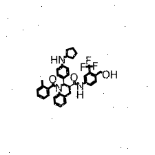 Cc1ccccc1C(=O)N1c2ccccc2C[C@H](C(=O)Nc2ccc(CO)c(C(F)(F)F)c2)[C@@H]1c1ccc(NC2CCCC2)cc1